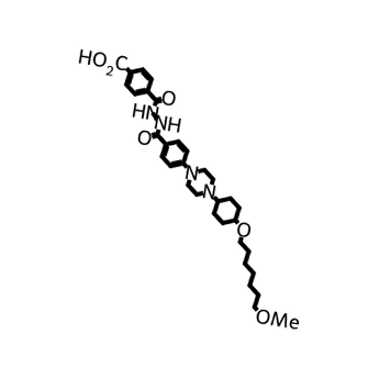 COCCCCCCCOC1CCC(N2CCN(c3ccc(C(=O)NNC(=O)c4ccc(C(=O)O)cc4)cc3)CC2)CC1